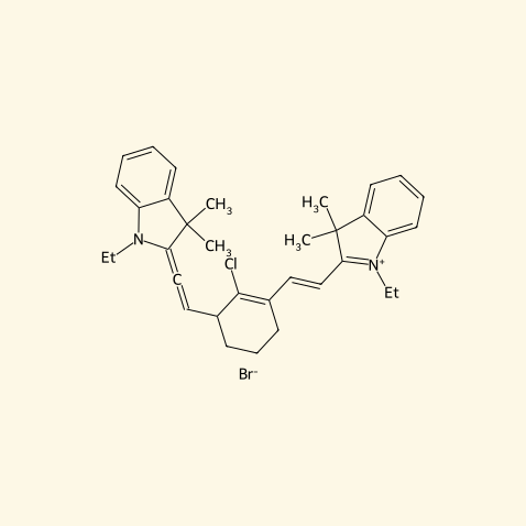 CCN1C(=C=CC2CCCC(/C=C/C3=[N+](CC)c4ccccc4C3(C)C)=C2Cl)C(C)(C)c2ccccc21.[Br-]